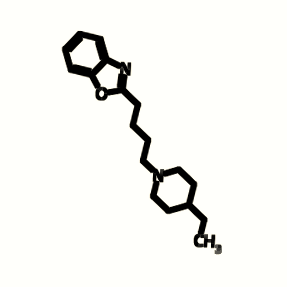 CCC1CCN(CCCCc2nc3ccccc3o2)CC1